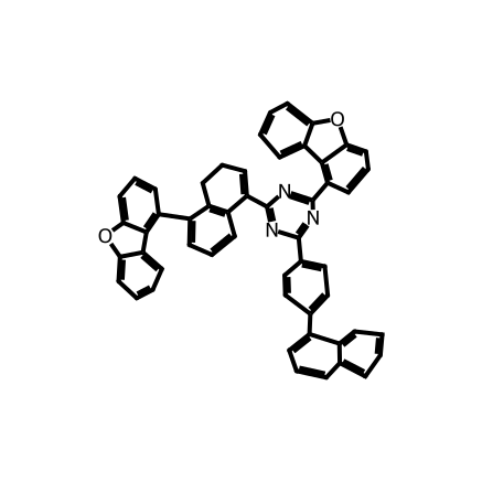 C1=C(c2nc(-c3ccc(-c4cccc5ccccc45)cc3)nc(-c3cccc4oc5ccccc5c34)n2)c2cccc(-c3cccc4oc5ccccc5c34)c2CC1